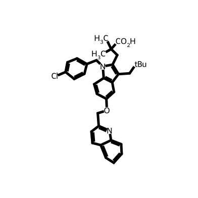 CC(C)(C)Cc1c(CC(C)(C)C(=O)O)n(Cc2ccc(Cl)cc2)c2ccc(OCc3ccc4ccccc4n3)cc12